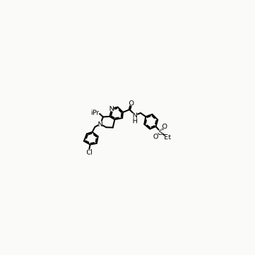 CCS(=O)(=O)c1ccc(CNC(=O)c2cnc3c(c2)CCN(Cc2ccc(Cl)cc2)C3C(C)C)cc1